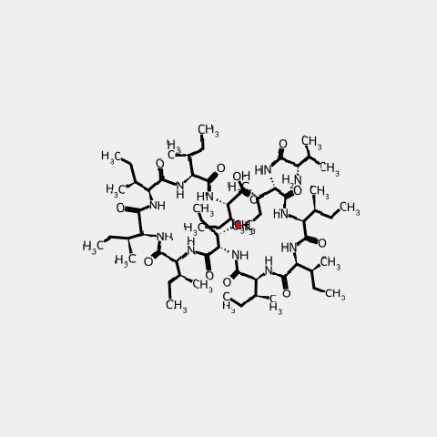 CC[C@H](C)[C@H](NC(=O)[C@@H](NC(=O)[C@@H](NC(=O)[C@@H](NC(=O)[C@@H](NC(=O)[C@@H](NC(=O)[C@@H](NC(=O)[C@@H](NC(=O)[C@@H](NC(=O)[C@@H](NC(=O)[C@@H](N)C(C)C)[C@@H](C)CC)[C@@H](C)CC)[C@@H](C)CC)[C@@H](C)CC)[C@@H](C)CC)[C@@H](C)CC)[C@@H](C)CC)[C@@H](C)CC)[C@@H](C)CC)C(=O)O